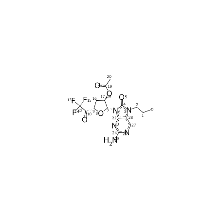 CCCn1c(=O)n([C@@H]2O[C@H](C(=O)C(F)(F)F)C[C@H]2OC(C)=O)c2nc(N)ncc21